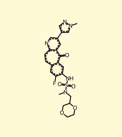 CN(CC1COCCO1)S(=O)(=O)Nc1cc2c(=O)c3cc(-c4cnn(C)c4)cnc3ccc2cc1F